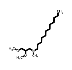 CCCCCCCCCCCCN(C)CC(COC)OC